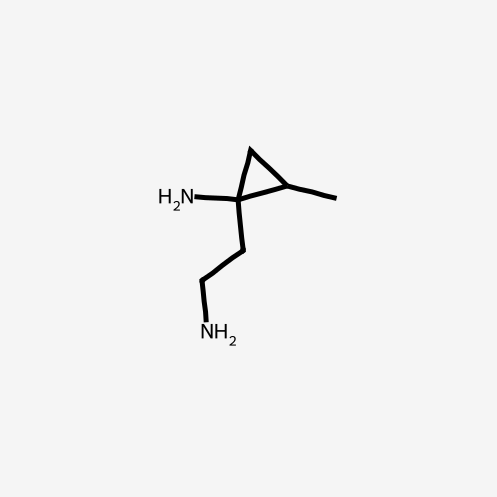 CC1CC1(N)CCN